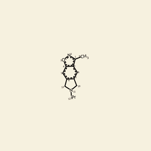 Cc1noc2cc3c(cc12)CN(C(C)C)C3